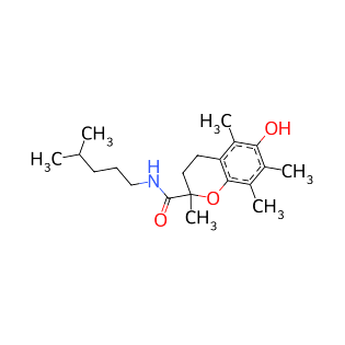 Cc1c(C)c2c(c(C)c1O)CCC(C)(C(=O)NCCCC(C)C)O2